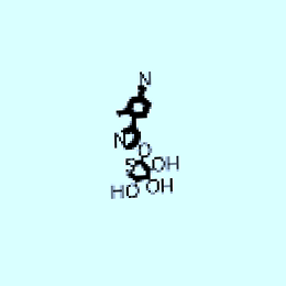 Cc1cc(C#N)ccc1-c1cncc(O[C@H]2SC[C@@H](O)[C@H](O)[C@H]2O)c1